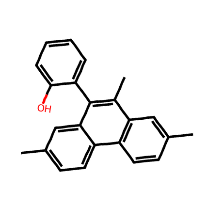 Cc1ccc2c(c1)c(C)c(-c1ccccc1O)c1cc(C)ccc12